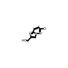 OCc1cn2nc(Cl)ccc2n1